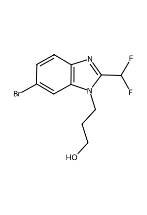 OCCCn1c(C(F)F)nc2ccc(Br)cc21